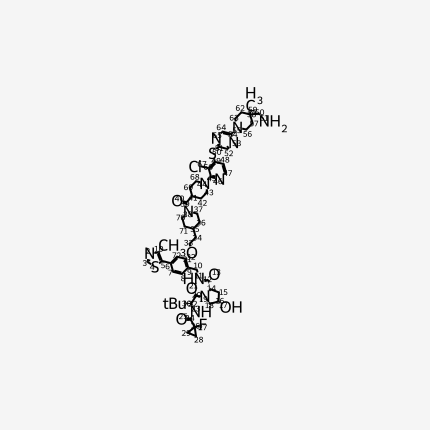 Cc1ncsc1-c1ccc(CNC(=O)[C@@H]2C[C@@H](O)CN2C(=O)[C@@H](NC(=O)C2(F)CC2)C(C)(C)C)c(OCCC2CCN(C(=O)C3CCN(c4nccc(Sc5cnc(N6CCC(C)(CN)CC6)cn5)c4Cl)CC3)CC2)c1